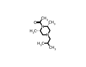 CC(=O)N1[C@H](C)CN(CC(C)C)C[C@@H]1C